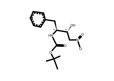 CC(C)(C)OC(=O)N[C@@H](Cc1ccccc1)[C@H](O)C[N+](=O)[O-]